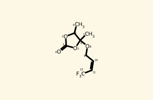 CC1OC(=O)OC1(C)OC/C=C\C(F)(F)F